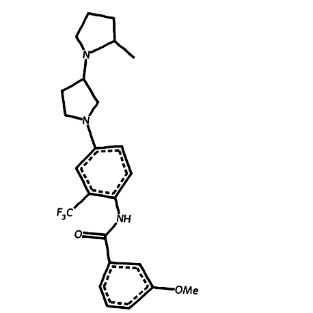 COc1cccc(C(=O)Nc2ccc(N3CCC(N4CCCC4C)C3)cc2C(F)(F)F)c1